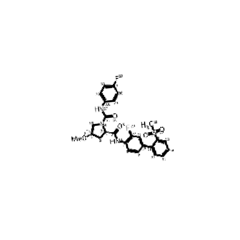 CO[C@@H]1C[C@H](C(=O)Nc2ccc(-c3ccccc3S(C)(=O)=O)cc2F)N(C(=O)Nc2ccc(F)cc2)C1